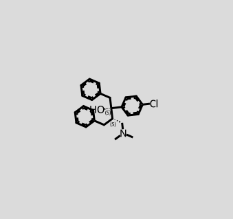 CN(C)C[C@H](Cc1ccccc1)[C@@](O)(Cc1ccccc1)c1ccc(Cl)cc1